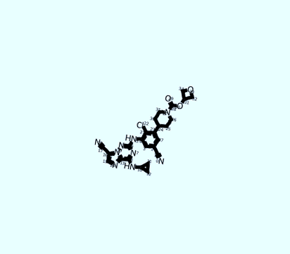 N#Cc1cc(Nc2nc(NC3CC3)c3ncc(C#N)n3n2)c(Cl)c(C2CCN(C(=O)OC3COC3)CC2)c1